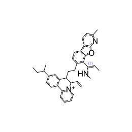 C=CC1C(CCc2ccc3c(oc4nc(C)ccc43)c2/C(=C/C)NC)c2cc(C(C)CC)ccc2-c2cccc[n+]21